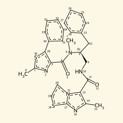 Cc1nc(C(=O)N(C)[C@H](CNC(=O)c2c(C)nc3sccn23)Cc2ccccc2)c(-c2ccccc2)s1